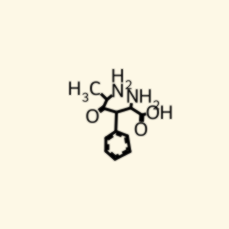 CC(N)C(=O)C(c1ccccc1)C(N)C(=O)O